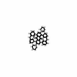 C1=CC2=C(CC1)N(c1c3cc(N4CCCCC4)ccc3c(N3c4ccccc4Cc4ccccc43)c3cc(N4CCCCC4)ccc13)c1ccccc1C2